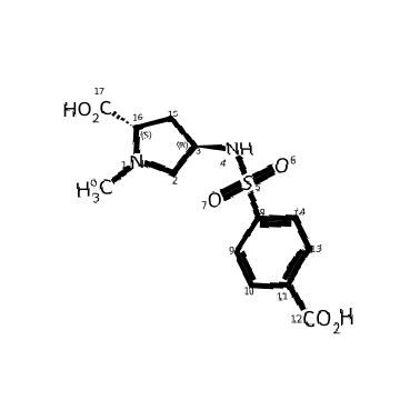 CN1C[C@H](NS(=O)(=O)c2ccc(C(=O)O)cc2)C[C@H]1C(=O)O